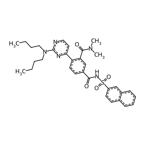 CCCCN(CCCC)c1nccc(-c2ccc(C(=O)NS(=O)(=O)c3ccc4ccccc4c3)cc2C(=O)N(C)C)n1